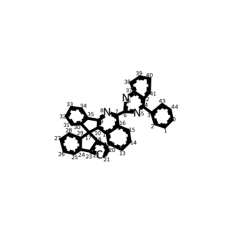 c1ccc(-c2nc(-c3nc4c(c5ccccc35)C3(c5ccccc5-c5ccccc53)c3ccccc3-4)nc3ccccc23)cc1